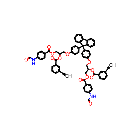 C#Cc1cccc(C(=O)OC(COC(=O)c2ccc(NC=O)cc2)COc2ccc(C3(c4ccc(OCC(COC(=O)c5ccc(NC=O)cc5)OC(=O)c5cccc(C#C)c5)cc4)c4ccccc4-c4ccccc43)cc2)c1